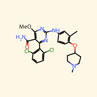 COc1nc(Nc2ccc(OC3CCN(C)CC3)c(C)c2)nc(-c2c(Cl)cccc2Cl)c1C(N)=O